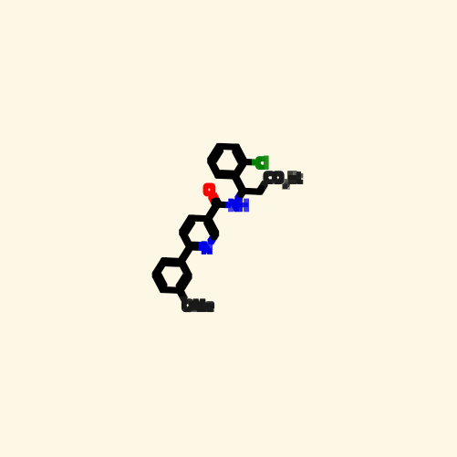 CCOC(=O)CC(NC(=O)c1ccc(-c2cccc(OC)c2)nc1)c1ccccc1Cl